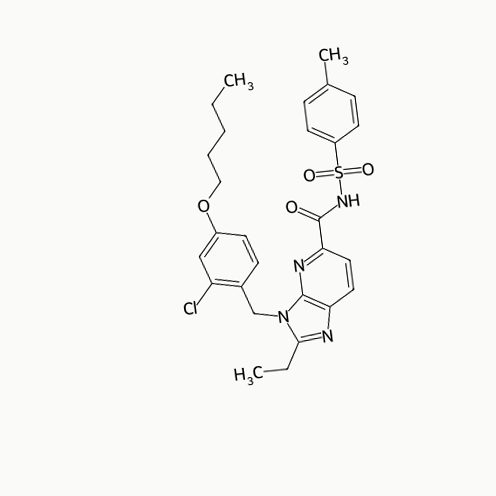 CCCCCOc1ccc(Cn2c(CC)nc3ccc(C(=O)NS(=O)(=O)c4ccc(C)cc4)nc32)c(Cl)c1